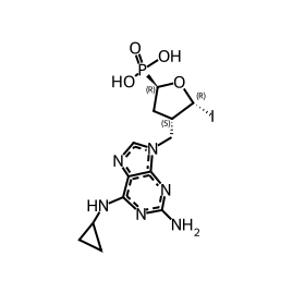 Nc1nc(NC2CC2)c2ncn(C[C@@H]3C[C@@H](P(=O)(O)O)O[C@@H]3I)c2n1